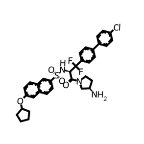 N[C@@H]1CCN(C(=O)[C@@H](NS(=O)(=O)c2ccc3cc(OC4CCCC4)ccc3c2)C(F)(F)c2ccc(-c3ccc(Cl)cc3)cc2)C1